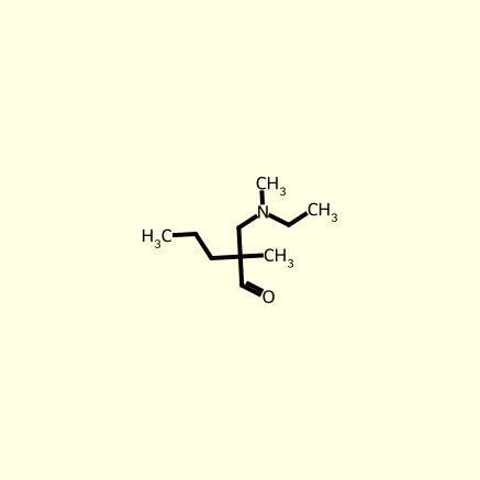 CCCC(C)(C=O)CN(C)CC